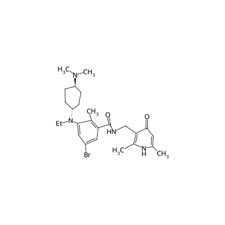 CCN(c1cc(Br)cc(C(=O)NCc2c(C)[nH]c(C)cc2=O)c1C)[C@H]1CC[C@H](N(C)C)CC1